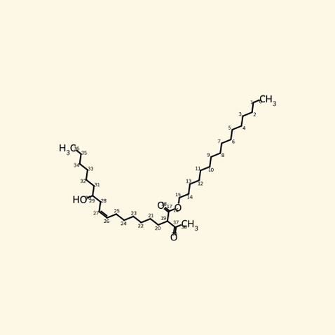 CCCCCCCCCCCCCCCCOC(=O)C(CCCCCC/C=C\CC(O)CCCCCC)C(C)=O